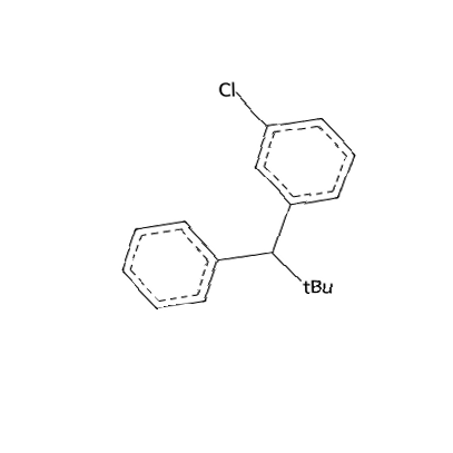 CC(C)(C)C(c1ccccc1)c1cccc(Cl)c1